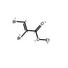 CCOC(=O)C(Br)=CBr